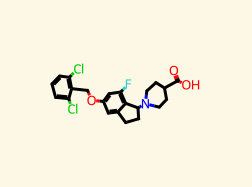 O=C(O)C1CCN(C2CCc3cc(OCc4c(Cl)cccc4Cl)cc(F)c32)CC1